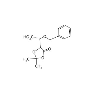 CC1(C)OC(=O)C([C@@H](OCc2ccccc2)C(=O)O)O1